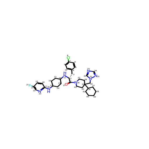 O=C([C@@H](Cc1ccc(Cl)cc1)NC1CCC(Nc2ccc(F)cn2)CC1)N1CCC(Cn2cncn2)(C2CCCCC2)CC1